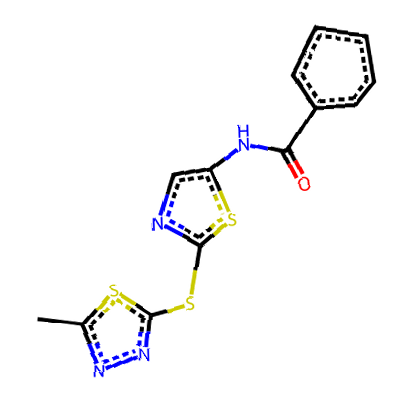 Cc1nnc(Sc2ncc(NC(=O)c3ccccc3)s2)s1